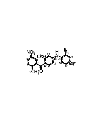 Cc1ccc([N+](=O)[O-])cc1C(=O)c1ccc(Nc2ccc(F)cc2F)cc1Cl